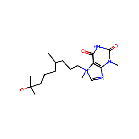 CC(CCCC(C)(C)[O-])CCC[N+]1(C)C=Nc2c1c(=O)[nH]c(=O)n2C